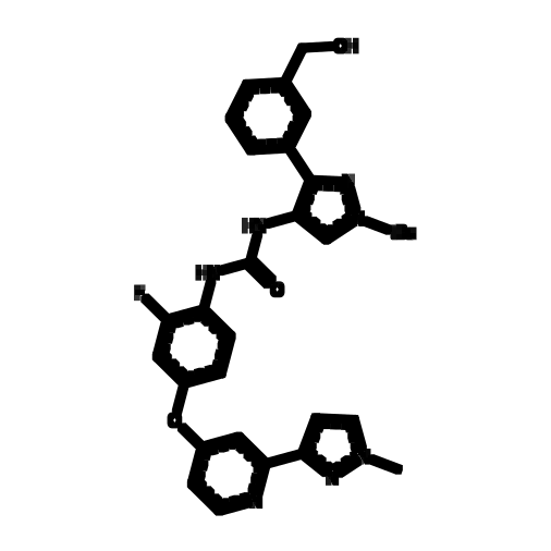 Cn1ccc(-c2cc(Oc3ccc(NC(=O)Nc4cn(C(C)(C)C)nc4-c4cccc(CO)c4)c(F)c3)ccn2)n1